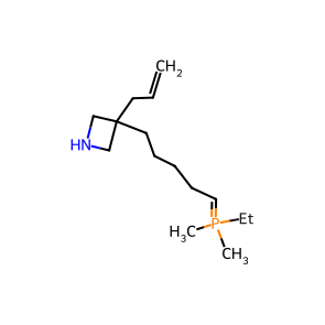 C=CCC1(CCCCC=P(C)(C)CC)CNC1